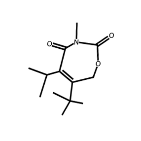 CC(C)C1=C(C(C)(C)C)COC(=O)N(C)C1=O